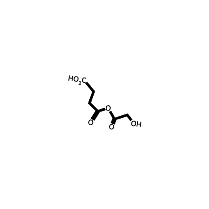 O=C(O)CCC(=O)OC(=O)CO